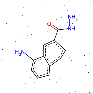 NNC(=O)c1ccc2cccc(N)c2c1